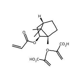 C=C(OC(=C)C(=O)O)C(=O)O.C=CC(=O)O[C@H]1C[C@@H]2CC[C@@]1(C)C2(C)C